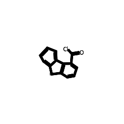 O=C(Cl)c1cccc2c1-c1ccccc1[C]2